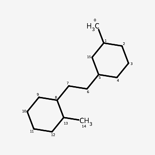 CC1CCCC(CCC2CCCCC2C)C1